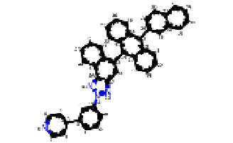 c1cc(-c2ccncc2)cc(-n2nc3cc(-c4c5ccccc5c(-c5ccc6ccccc6c5)c5ccccc45)c4ccccc4c3n2)c1